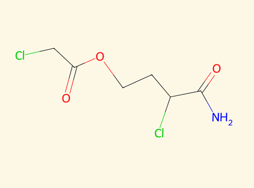 NC(=O)C(Cl)CCOC(=O)CCl